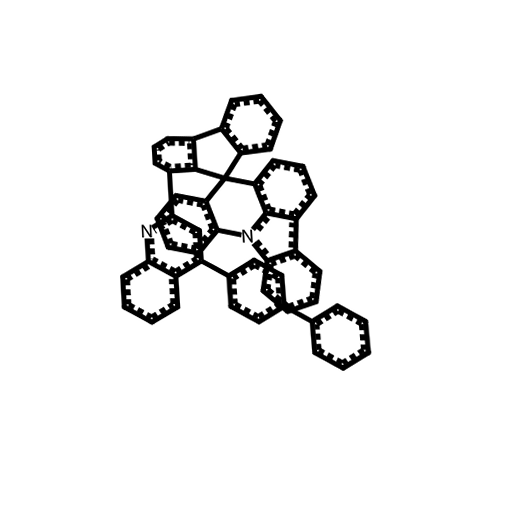 c1ccc(-c2ccc(-c3cc(-c4cccc5c4C4(c6ccccc6-5)c5ccccc5-n5c6ccccc6c6cccc4c65)nc4ccccc34)cc2)cc1